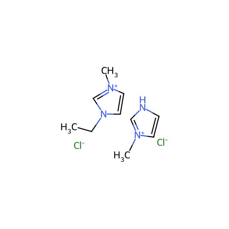 CCn1cc[n+](C)c1.C[n+]1cc[nH]c1.[Cl-].[Cl-]